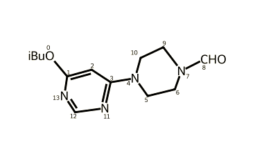 CC(C)COc1cc(N2CCN(C=O)CC2)ncn1